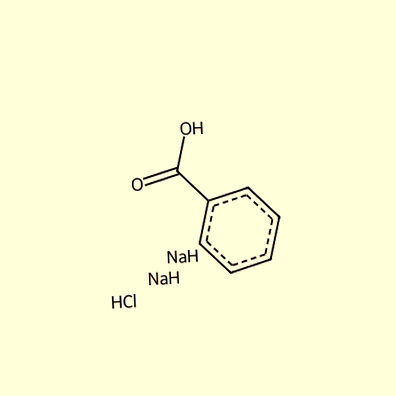 Cl.O=C(O)c1ccccc1.[NaH].[NaH]